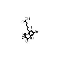 O=C(O)CCNCc1cc(Br)cc2[nH]c(=O)c(=O)[nH]c12